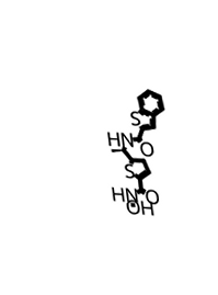 C[C@@H](NC(=O)c1cc2ccccc2s1)C1CC=C(C(=O)NO)S1